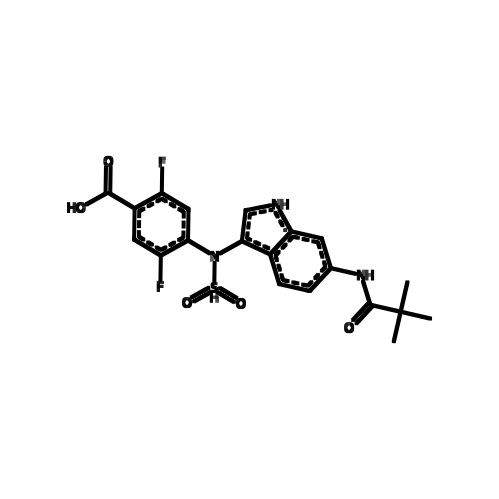 CC(C)(C)C(=O)Nc1ccc2c(N(c3cc(F)c(C(=O)O)cc3F)[SH](=O)=O)c[nH]c2c1